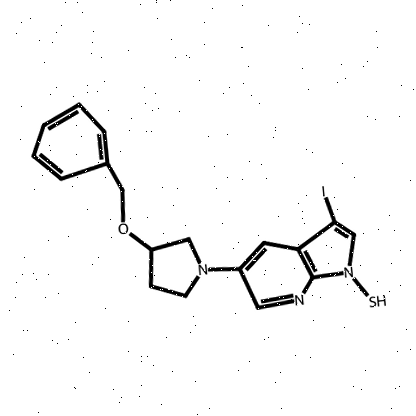 Sn1cc(I)c2cc(N3CCC(OCc4ccccc4)C3)cnc21